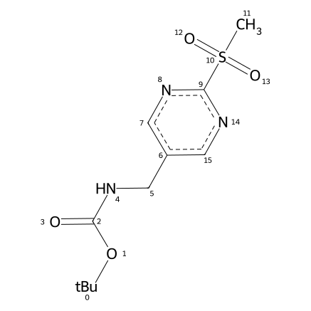 CC(C)(C)OC(=O)NCc1cnc(S(C)(=O)=O)nc1